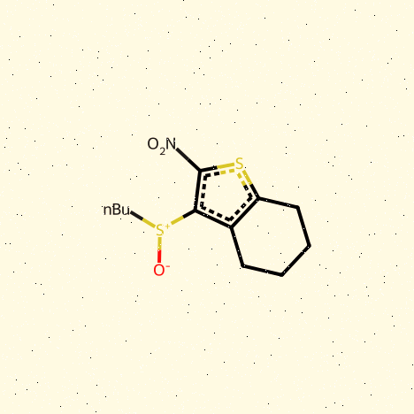 CCCC[S+]([O-])c1c([N+](=O)[O-])sc2c1CCCC2